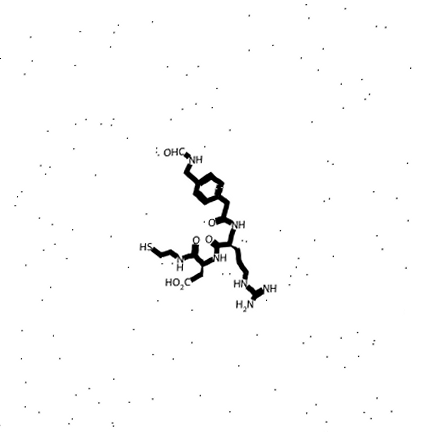 N=C(N)NCCC[C@H](NC(=O)Cc1ccc(CNC=O)cc1)C(=O)N[C@@H](CC(=O)O)C(=O)NCCS